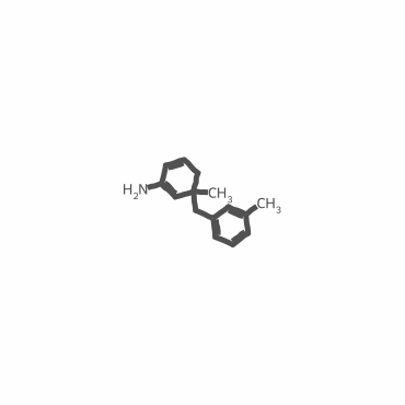 Cc1cccc(CC2(C)C=C(N)C=CC2)c1